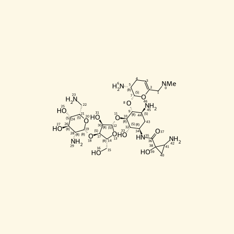 CNCC1=CC[C@@H](N)[C@@H](O[C@H]2[C@H](O[C@@H]3O[C@H](CO)[C@@H](O[C@H]4O[C@@H](CN)[C@@H](O)[C@H](O)[C@H]4N)[C@H]3O)[C@@H](O)[C@H](NC(=O)C3(O)CC3N)C[C@@H]2N)O1